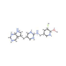 COc1ncc(CNc2ncc(Cc3c[nH]c4ncncc34)cn2)cc1F